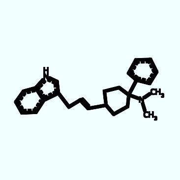 CN(C)C1(c2ccccc2)CCC(/C=C/Cc2c[nH]c3ccccc23)CC1